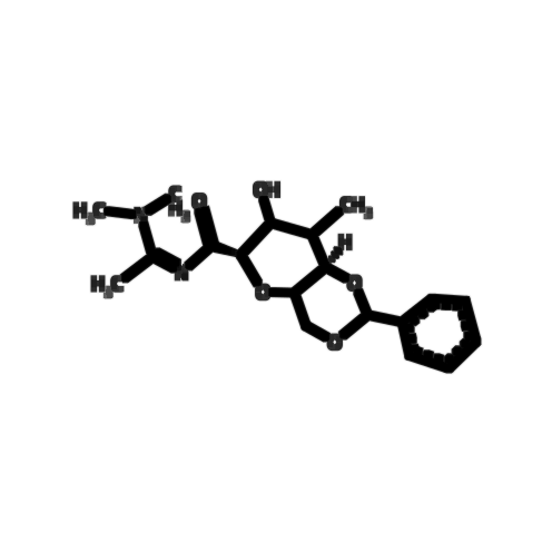 C/C(=N/C(=O)[C@@H]1OC2COC(c3ccccc3)O[C@@H]2C(C)C1O)N(C)C